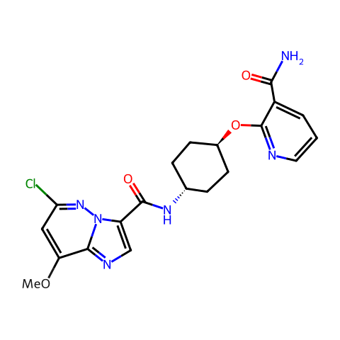 COc1cc(Cl)nn2c(C(=O)N[C@H]3CC[C@H](Oc4ncccc4C(N)=O)CC3)cnc12